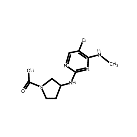 CNc1nc(NC2CCN(C(=O)O)C2)ncc1Cl